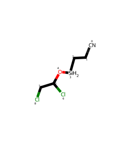 N#CCC[SiH2]OC(Cl)CCl